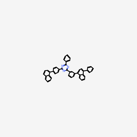 c1ccc(-c2nc(-c3ccc(-c4cccc5ccccc45)cc3)nc(-c3cccc(-c4ccc(-c5ccccc5)c5ccccc45)c3)n2)cc1